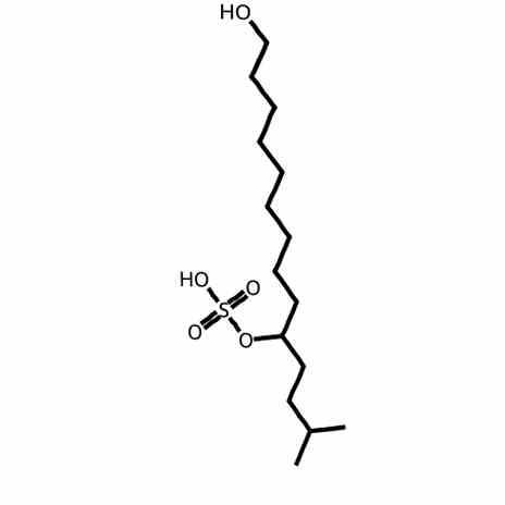 CC(C)CCC(CCCCCCCCCO)OS(=O)(=O)O